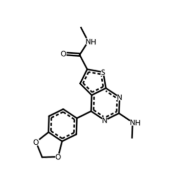 CNC(=O)c1cc2c(-c3ccc4c(c3)OCO4)nc(NC)nc2s1